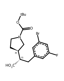 CC(C)(C)OC(=O)N1CC[C@H]([C@H](Cc2cc(F)cc(Br)c2)C(=O)O)C1